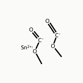 CO[C-]=O.CO[C-]=O.[Sn+2]